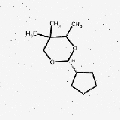 CC1O[C@H](C2CCCC2)OCC1(C)C